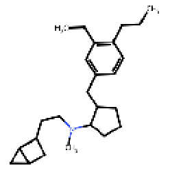 CCCc1ccc(CC2CCCC2N(C)CCC2CC3CC23)cc1CC